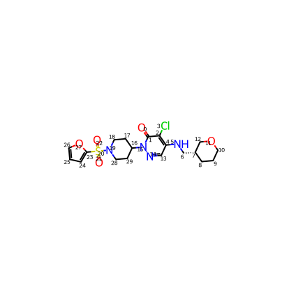 O=c1c(Cl)c(NC[C@H]2CCCOC2)cnn1C1CCN(S(=O)(=O)c2ccco2)CC1